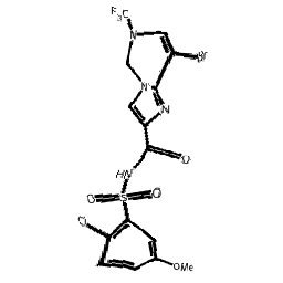 COc1ccc(Cl)c(S(=O)(=O)NC(=O)C2=C[N+]3CN(C(F)(F)F)C=C(Br)C3=N2)c1